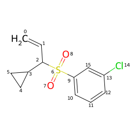 C=CC(C1CC1)S(=O)(=O)c1cccc(Cl)c1